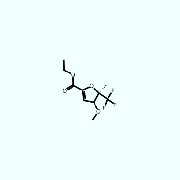 CCOC(=O)C1=C[C@H](OC)[C@](C)(C(F)(F)F)O1